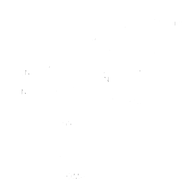 CCOc1ccc(-n2cc(-c3cnn(C)c3)c(OCCOC)cc2=O)c(C)c1